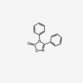 O=S1ON=C(c2ccccc2)N1c1ccccc1